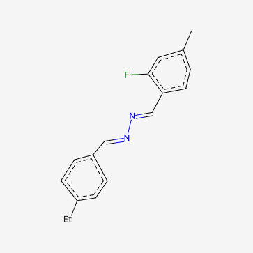 CCc1ccc(C=NN=Cc2ccc(C)cc2F)cc1